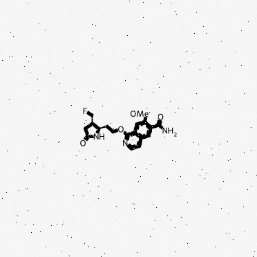 COc1cc2c(OCC[C@H]3NC(=O)C[C@H]3CF)nccc2cc1C(N)=O